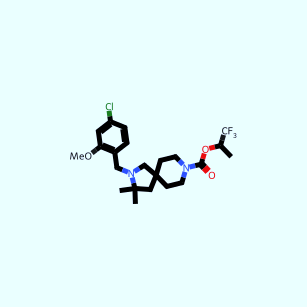 COc1cc(Cl)ccc1CN1CC2(CCN(C(=O)OC(C)C(F)(F)F)CC2)CC1(C)C